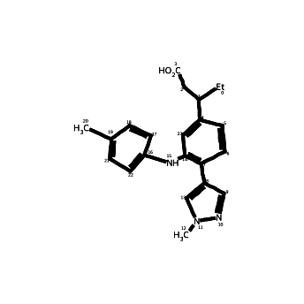 CCC(CC(=O)O)c1ccc(-c2cnn(C)c2)c(Nc2ccc(C)cc2)c1